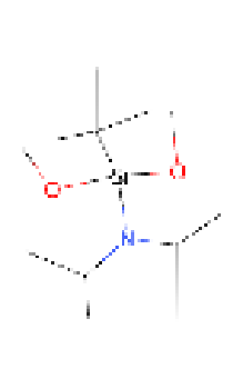 CO[Si](OC)(N(C(C)C)C(C)C)C(C)(C)C